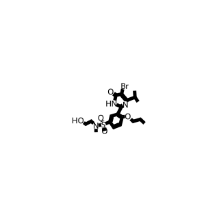 CCCOc1ccc(S(=O)(=O)N(C)CCO)cc1-c1nc(C(C)C)c(Br)c(=O)[nH]1